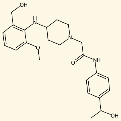 COc1cccc(CO)c1NC1CCN(CC(=O)Nc2ccc(C(C)O)cc2)CC1